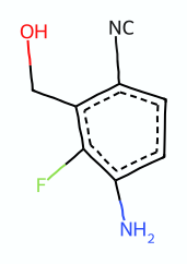 [C-]#[N+]c1ccc(N)c(F)c1CO